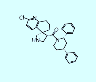 O=C([C@@H]1CNC[C@]12CCCc1nc(Cl)ccc12)N1CC[C@@H](c2ccccc2)C[C@H]1c1ccccc1